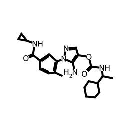 Cc1ccc(C(=O)NC2CC2)cc1-n1ncc(OC(=O)NC(C)C2CCCCC2)c1N